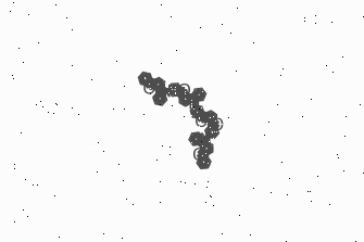 c1ccc2c(c1)oc1c2ccc2c1c1ccccc1n2-c1ccc2oc3c(ccc4c3c3ccccc3n4-c3ccc4oc5c(ccc6oc7ccc(-n8c9ccccc9c9c%10oc%11ccccc%11c%10ccc98)cc7c65)c4c3)c2c1